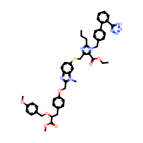 CCCc1nc(CSc2ccc3nc(COc4ccc(CC(OCc5ccc(OC)cc5)C(=O)OC)cc4)n(C)c3c2)c(C(=O)OCC)n1Cc1ccc(-c2ccccc2-c2nnn[nH]2)cc1